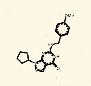 COc1ccc(CNc2nc3c(cnn3C3CCCC3)c(=O)[nH]2)cc1